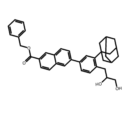 O=C(OCc1ccccc1)c1ccc2cc(-c3ccc(CC(O)CO)c(C45CC6CC(CC(C6)C4)C5)c3)ccc2c1